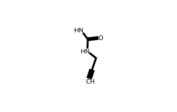 C#CCNC([NH])=O